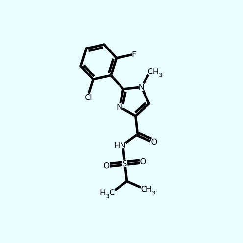 CC(C)S(=O)(=O)NC(=O)c1cn(C)c(-c2c(F)cccc2Cl)n1